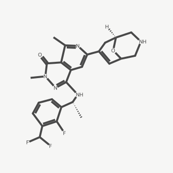 Cc1nc(C2=CC3CNC[C@H](C2)O3)cc2c(N[C@H](C)c3cccc(C(F)F)c3F)nn(C)c(=O)c12